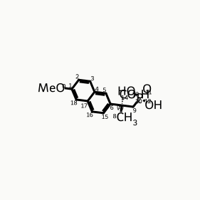 COc1ccc2cc([C@](C)(CP(=O)(O)O)C(=O)O)ccc2c1